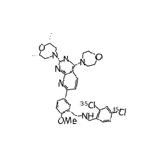 COc1ccc(-c2ccc3c(N4CCOCC4)nc(N4C[C@@H](C)O[C@@H](C)C4)nc3n2)cc1CNCc1ccc([35Cl])cc1[35Cl]